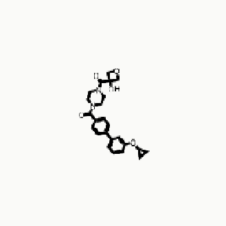 O=C(c1ccc(-c2cccc(OC3CC3)c2)cc1)N1CCN(C(=O)C2(O)COC2)CC1